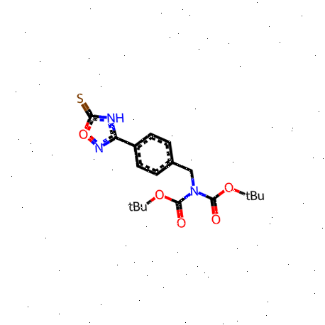 CC(C)(C)OC(=O)N(Cc1ccc(-c2noc(=S)[nH]2)cc1)C(=O)OC(C)(C)C